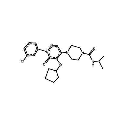 CC(C)NC(=S)N1CCN(c2cnn(-c3cccc(Cl)c3)c(=O)c2OC2CCCC2)CC1